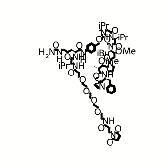 CC[C@H](C)[C@@H]([C@@H](CC(=O)N1CCC[C@H]1[C@H](OC)[C@@H](C)C(=O)N[C@@H](Cc1ccccc1)c1nccs1)OC)N(C)C(=O)[C@@H](NC(=O)[C@H](C(C)C)N(C)C(=O)OCc1ccc(NC(=O)[C@H](CCCNC(N)=O)NC(=O)[C@@H](NC(=O)CCOCCOCCOCCOCCNC(=O)CCN2C(=O)C=CC2=O)C(C)C)cc1)C(C)C